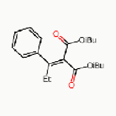 CCC(=C(C(=O)OCC(C)C)C(=O)OCC(C)C)c1ccccc1